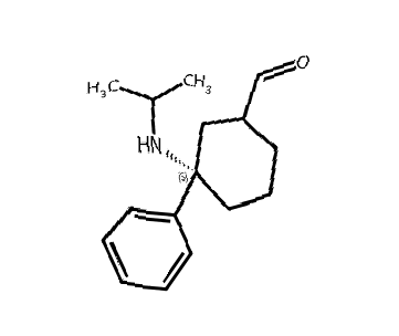 CC(C)N[C@@]1(c2ccccc2)CCCC(C=O)C1